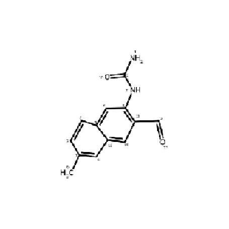 Cc1ccc2cc(NC(N)=O)c(C=O)cc2c1